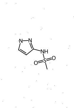 CS(=O)(=O)NC1=N[N]C=C1